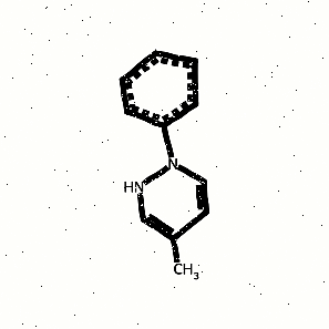 CC1=CNN(c2cc[c]cc2)C=C1